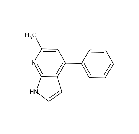 Cc1cc(-c2ccccc2)c2cc[nH]c2n1